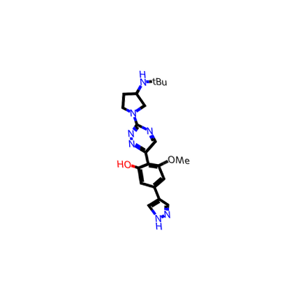 COc1cc(-c2cn[nH]c2)cc(O)c1-c1cnc(N2CCC(NC(C)(C)C)C2)nn1